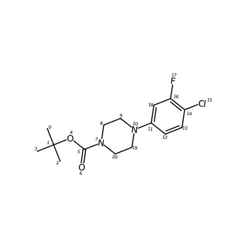 CC(C)(C)OC(=O)N1CCN(c2ccc(Cl)c(F)c2)CC1